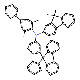 Cc1cc(-c2ccccc2)cc(C)c1N(c1ccc2c(c1)C(C)(C)c1ccccc1-2)c1ccc2c(c1)C1(c3ccccc3-c3ccccc31)c1ccccc1-2